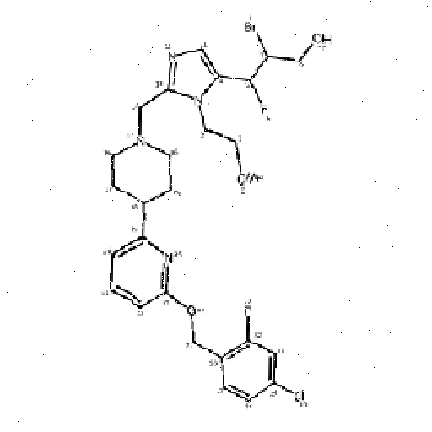 COCCn1c(C(F)C(Br)CO)cnc1CN1CCC(c2cccc(OCc3ccc(Cl)cc3F)n2)CC1